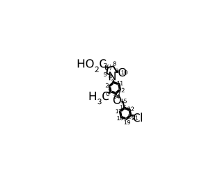 Cc1cc(N2C[C@@H](C(=O)O)CC2=O)ccc1OCc1cccc(Cl)c1